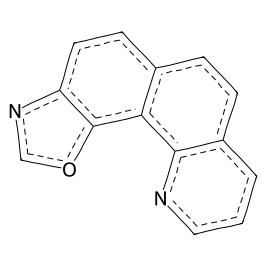 c1cnc2c(c1)ccc1ccc3ncoc3c12